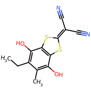 CCc1c(C)c(O)c2c(c1O)SC(=C(C#N)C#N)S2